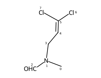 CN(C=O)CC=C(Cl)Cl